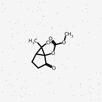 COC(=O)OC12C(=O)CCC1C2(C)C